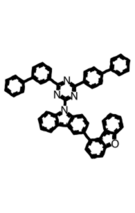 c1ccc(-c2ccc(-c3nc(-c4cccc(-c5ccccc5)c4)nc(-n4c5ccccc5c5cc(-c6cccc7oc8ccccc8c67)ccc54)n3)cc2)cc1